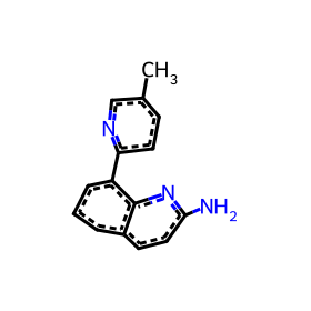 Cc1ccc(-c2cccc3ccc(N)nc23)nc1